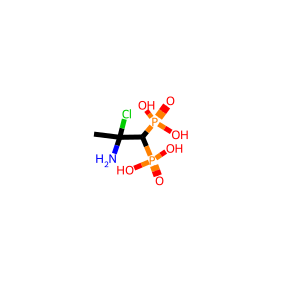 CC(N)(Cl)C(P(=O)(O)O)P(=O)(O)O